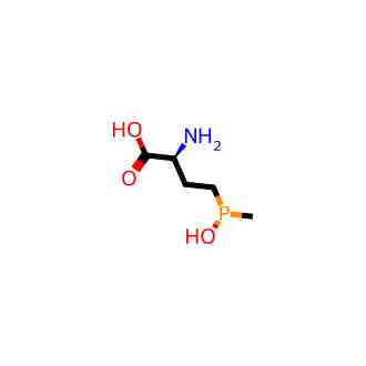 CP(O)CC[C@H](N)C(=O)O